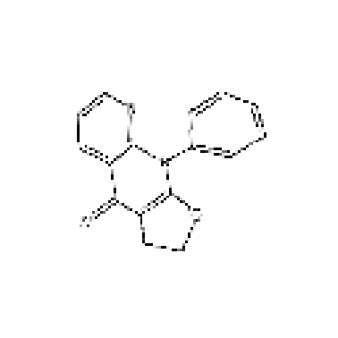 O=c1c2c(n(-c3ccccc3)c3ncccc13)OCC2